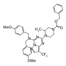 COc1ccc(CN(Cc2ccc(OC)cc2)c2nc(N3CCN(C(=O)OCc4ccccc4)CC3C)nc3c(C(F)(F)F)cnn23)cc1